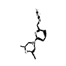 CC1CN(c2cccc(CN=[N+]=[N-])n2)CC(C)O1